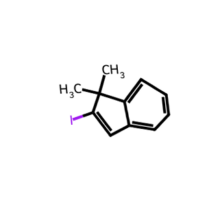 CC1(C)C(I)=Cc2ccccc21